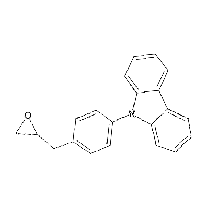 c1ccc2c(c1)c1ccccc1n2-c1ccc(CC2CO2)cc1